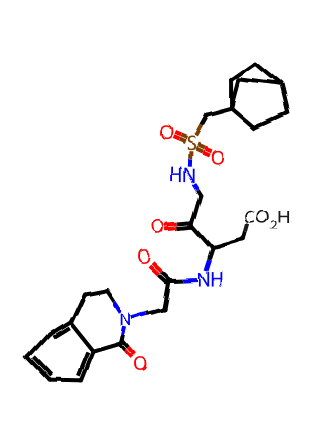 O=C(O)CC(NC(=O)CN1CCc2ccccc2C1=O)C(=O)CNS(=O)(=O)CC12CCC(CC1)C2